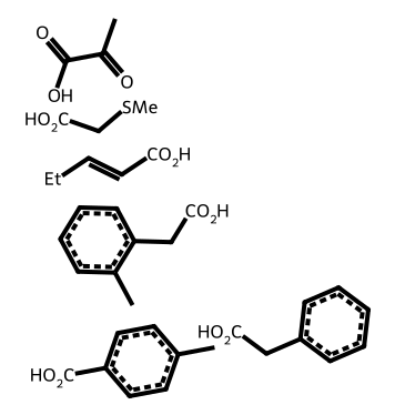 CC(=O)C(=O)O.CC/C=C/C(=O)O.CSCC(=O)O.Cc1ccc(C(=O)O)cc1.Cc1ccccc1CC(=O)O.O=C(O)Cc1ccccc1